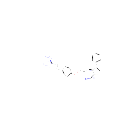 C=N/C=c1/scc(-c2ccccc2C)/c1=C/CCOc1ccc(CC/C(=N/N)NN)cc1